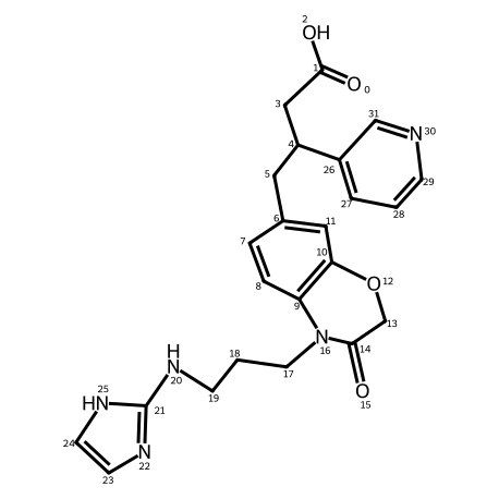 O=C(O)CC(Cc1ccc2c(c1)OCC(=O)N2CCCNc1ncc[nH]1)c1cccnc1